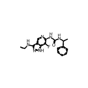 CCNc1n[nH]c2c(F)c(NC(=O)NC(C)c3ccccc3)ncc12